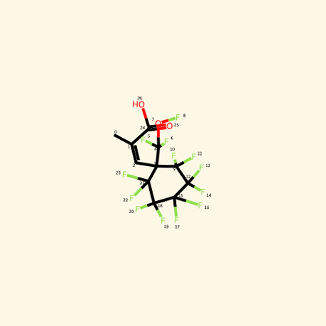 CC(=CC1(C(F)(F)OF)C(F)(F)C(F)(F)C(F)(F)C(F)(F)C1(F)F)C(=O)O